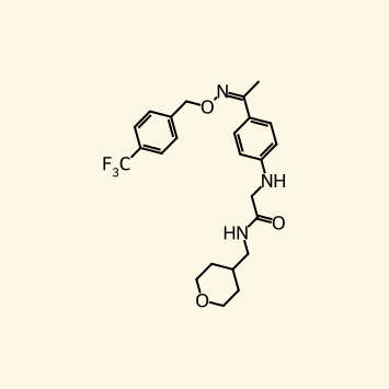 CC(=NOCc1ccc(C(F)(F)F)cc1)c1ccc(NCC(=O)NCC2CCOCC2)cc1